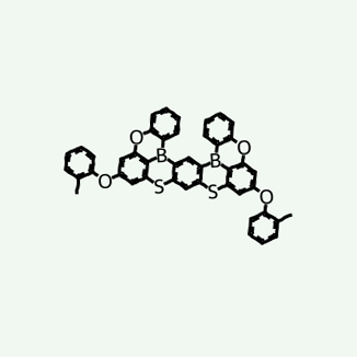 Cc1ccccc1Oc1cc2c3c(c1)Sc1cc4c(cc1B3c1ccccc1O2)B1c2ccccc2Oc2cc(Oc3ccccc3C)cc(c21)S4